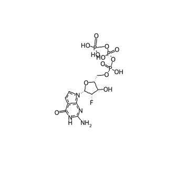 Nc1nc2c(ccn2[C@@H]2O[C@H](COP(=O)(O)OP(=O)(O)OP(=O)(O)O)C(O)[C@@H]2F)c(=O)[nH]1